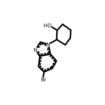 OC1CCCCC1n1cnc2cc(Br)ccc21